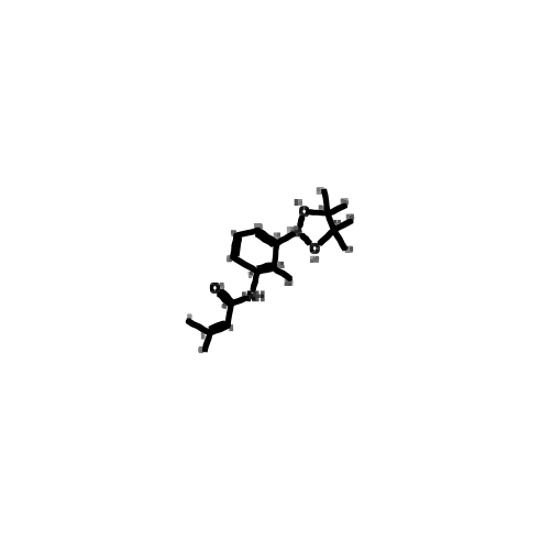 CC(C)=CC(=O)Nc1cccc(B2OC(C)(C)C(C)(C)O2)c1C